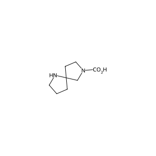 O=C(O)N1CCC2(CCCN2)C1